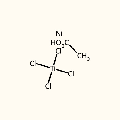 CC(=O)O.[Cl][Ti]([Cl])([Cl])[Cl].[Ni]